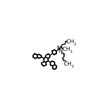 C=CCCc1nc(-c2ccc(-c3ccc4c(-c5ccc6ccccc6c5)c5ccccc5c(-c5ccc6ccccc6c5)c4c3)cc2)n(C/C=C\C=C/CC)c1C